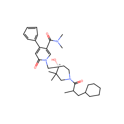 CC(CC1CCCCC1)C(=O)N1CC[C@](O)(Cn2cc(C(=O)N(C)C)c(-c3ccccc3)cc2=O)C(C)(C)C1